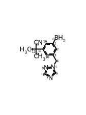 Bc1cc(Cn2cncn2)cc(C(C)(C)C#N)c1